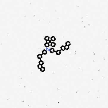 c1ccc(C2(c3ccccc3)c3ccccc3-c3ccc(N(c4ccc(-c5cccc(-c6ccc7c(ccc8ccccc87)c6)c5)cc4)c4ccc(-c5cccc(-c6ccc7c(ccc8ccccc87)c6)c5)cc4)cc32)cc1